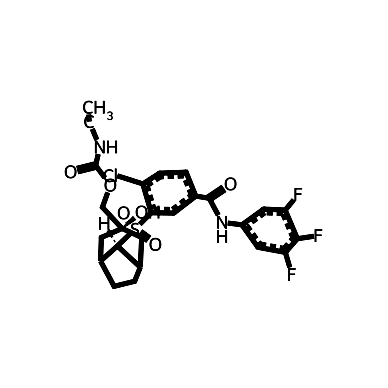 CCNC(=O)OC[C@]1(O)CC2CCC(C1)[C@H]2S(=O)(=O)c1cc(C(=O)Nc2cc(F)c(F)c(F)c2)ccc1Cl